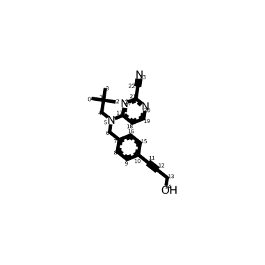 CC(C)(C)CN(Cc1ccc(C#CCO)cc1)c1ccnc(C#N)n1